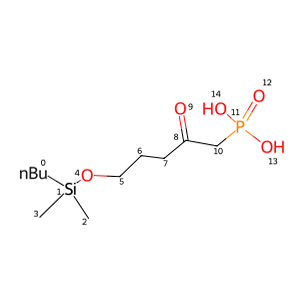 CCCC[Si](C)(C)OCCCC(=O)CP(=O)(O)O